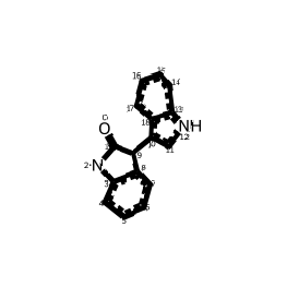 O=C1[N]c2ccccc2C1c1c[nH]c2ccccc12